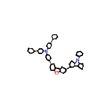 c1ccc(-c2ccc(N(c3ccc(-c4ccccc4)cc3)c3ccc(-c4ccc5oc6ccc(-c7ccc8c(c7)c7ccccc7n8-c7ccccc7)cc6c5c4)cc3)cc2)cc1